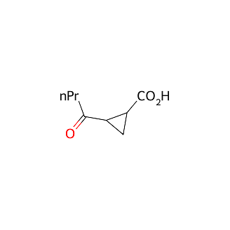 CCCC(=O)C1CC1C(=O)O